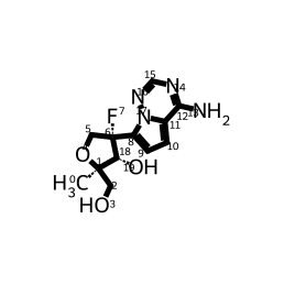 C[C@]1(CO)OC[C@@](F)(c2ccc3c(N)ncnn23)[C@@H]1O